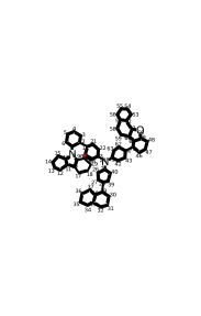 c1c(-c2ccccc2-n2c3c(c4ccccc42)C=CCC3)ccc(N(c2ccc(-c3cccc4ccccc34)cc2)c2ccc(-c3cccc4oc5c6ccccc6ccc5c34)cc2)c#1